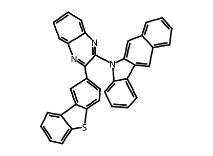 c1ccc2cc3c(cc2c1)c1ccccc1n3-c1nc2ccccc2nc1-c1ccc2sc3ccccc3c2c1